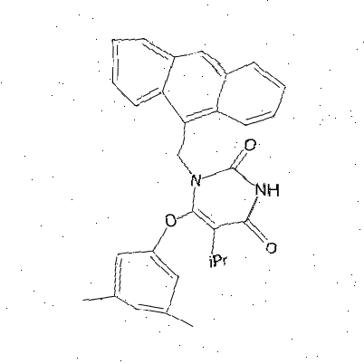 Cc1cc(C)cc(Oc2c(C(C)C)c(=O)[nH]c(=O)n2Cc2c3ccccc3cc3ccccc23)c1